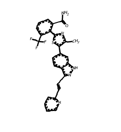 Cc1nc(-c2c(C(N)=O)cccc2C(F)(F)F)sc1-c1ccc2c(C=Cc3ccccn3)n[nH]c2c1